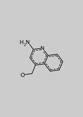 Nc1cc(C[O])c2ccccc2n1